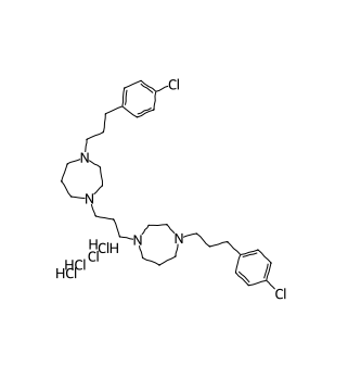 Cl.Cl.Cl.Cl.Clc1ccc(CCCN2CCCN(CCCN3CCCN(CCCc4ccc(Cl)cc4)CC3)CC2)cc1